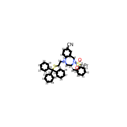 CCCS(=O)(=O)N1Cc2cc(C#N)ccc2N(CCSC(c2ccccc2)(c2ccccc2)c2ccccc2)C[C@H]1Cc1ccccc1